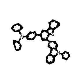 c1ccc(N(c2ccccc2)c2ccc(-c3cc(-c4ccc5c(c4)c4ccccc4n5-c4ccccc4)c4sc5ccccc5c4c3)cc2)cc1